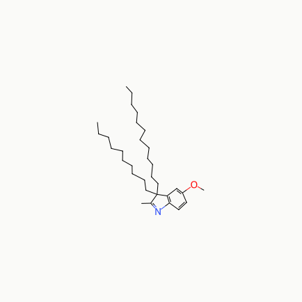 CCCCCCCCCCCCC1(CCCCCCCCCC)C(C)=Nc2ccc(OC)cc21